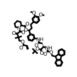 C=CC(=O)OCC(C)(C)C(=O)C(=O)N1CCCCC1C(=O)OC(CCc1ccc(OC)c(OC)c1)c1cccc(NC(=O)C[C@H](NC(=O)OCC2c3ccccc3-c3ccccc32)C(=O)OC(C)(C)C)c1